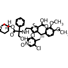 COc1ccc([C@H](Cc2c(Cl)c[n+]([O-])cc2Cl)c2cc(CNC(CO)(C(=O)O[C@H]3CN4CCC3CC4)c3ccccc3)sc2C(=O)O)cc1OC